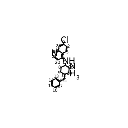 Clc1ccc2c(NC3CCC(Cc4ccccc4)CC3)ccnc2c1.N